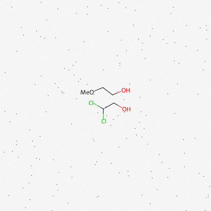 COCCO.OCC(Cl)Cl